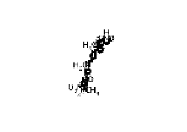 CN(CCC1CCN(Cc2cccc3c2n(C)c(=O)n3C2CCC(=O)NC2=O)CC1)C[C@H]1CC[C@H](N2Cc3cc([N+](=O)[O-])c(N(C)C)cc3C2=O)CC1